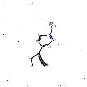 C=C(CC)c1ccc(N)nc1